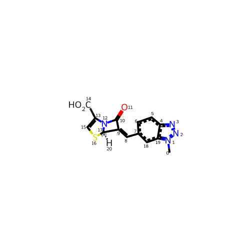 Cn1nnc2ccc(C=C3C(=O)N4C(C(=O)O)=CS[C@H]34)cc21